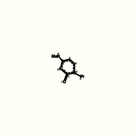 CNc1ccn(C(C)C)c(=O)n1